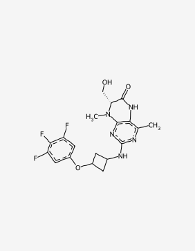 Cc1nc(NC2CC(Oc3cc(F)c(F)c(F)c3)C2)nc2c1NC(=O)[C@@H](CO)N2C